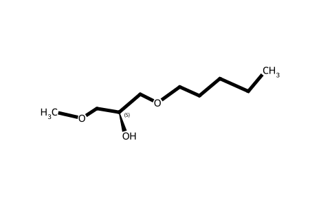 CCCCCOC[C@@H](O)COC